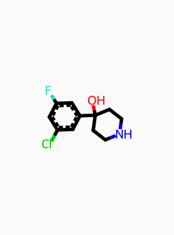 OC1(c2cc(F)cc(Cl)c2)CCNCC1